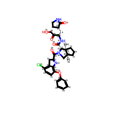 O=C1NCC[C@H]1C[C@H](NC(=O)[C@@H]1[C@H]2CCC[C@H]2CN1C(=O)C1=Nc2c(Oc3ccccc3)ccc(Cl)c2C1)C(=O)CO